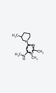 CNc1cc(N2CCCC(C)C2)nc(C)[n+]1C